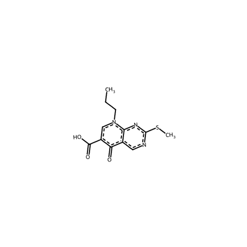 CCCn1cc(C(=O)O)c(=O)c2cnc(SC)nc21